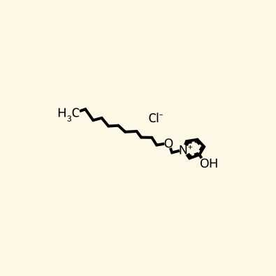 CCCCCCCCCCCOC[n+]1cccc(O)c1.[Cl-]